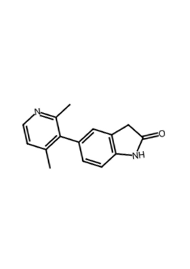 Cc1ccnc(C)c1-c1ccc2c(c1)CC(=O)N2